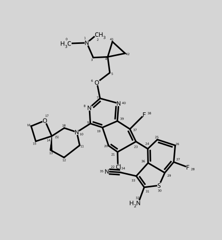 CN(C)CC1(COc2nc(N3CCC[C@]4(CCO4)C3)c3cc(Cl)c(-c4ccc(F)c5sc(N)c(C#N)c45)c(F)c3n2)CC1